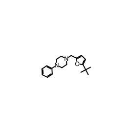 CC(C)(C)c1ccc(CN2CCN(c3ccccc3)CC2)o1